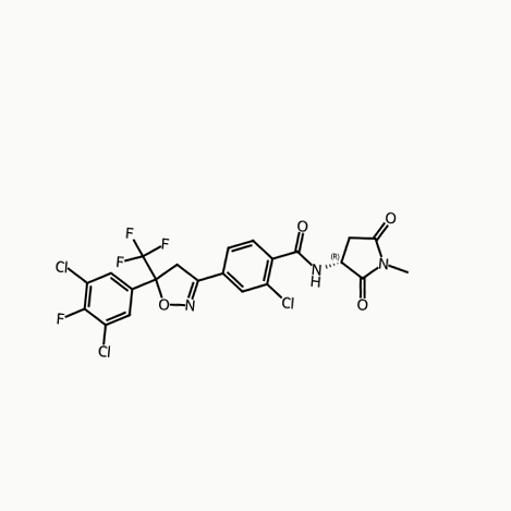 CN1C(=O)C[C@@H](NC(=O)c2ccc(C3=NOC(c4cc(Cl)c(F)c(Cl)c4)(C(F)(F)F)C3)cc2Cl)C1=O